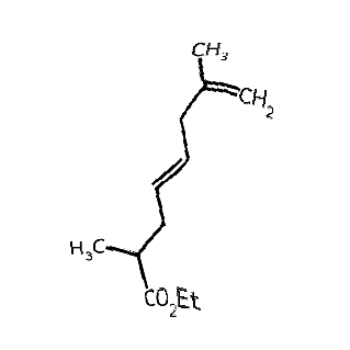 C=C(C)C/C=C/CC(C)C(=O)OCC